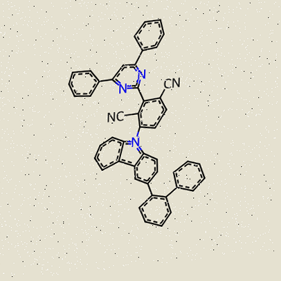 N#Cc1ccc(-n2c3ccccc3c3cc(-c4ccccc4-c4ccccc4)ccc32)c(C#N)c1-c1nc(-c2ccccc2)cc(-c2ccccc2)n1